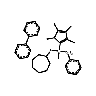 CC1=C(C)C(C)[C]([Ti]([CH3])([NH]C2CCCCCC2)[SiH2]c2ccccc2)=C1C.c1ccc(-c2ccccc2)cc1